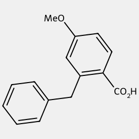 COc1ccc(C(=O)O)c(Cc2ccccc2)c1